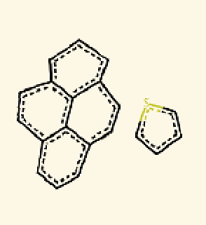 c1cc2ccc3cccc4ccc(c1)c2c34.c1ccsc1